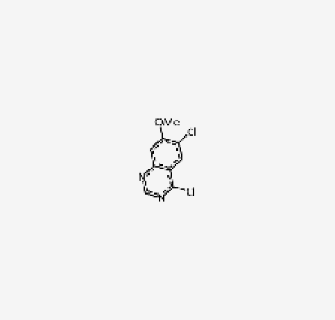 COc1cc2ncnc(Cl)c2cc1Cl